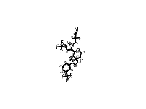 CC(C)(C#N)Cn1nc(C(F)(F)F)cc1C1CC(C)(S(=O)(=O)c2cccc(C(F)(F)F)c2)CCO1